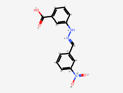 O=C(O)c1cccc(N/N=C/c2cccc([N+](=O)[O-])c2)c1